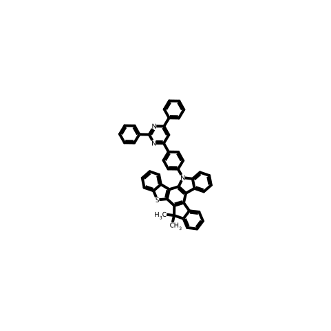 CC1(C)c2ccccc2-c2c1c1sc3ccccc3c1c1c2c2ccccc2n1-c1ccc(-c2cc(-c3ccccc3)nc(-c3ccccc3)n2)cc1